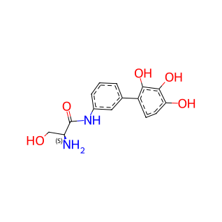 N[C@@H](CO)C(=O)Nc1cccc(-c2ccc(O)c(O)c2O)c1